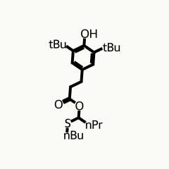 CCCCSC(CCC)OC(=O)CCc1cc(C(C)(C)C)c(O)c(C(C)(C)C)c1